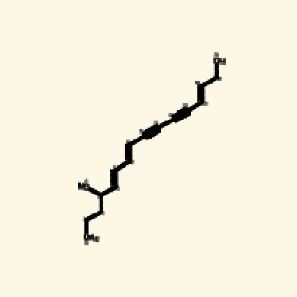 CC(=O)OCCC(O)C=CC=CC#CC#CC=CCO